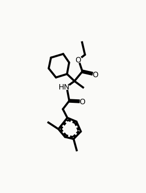 CCOC(=O)C(C)(NC(=O)Cc1ccc(C)cc1C)C1CCCCC1